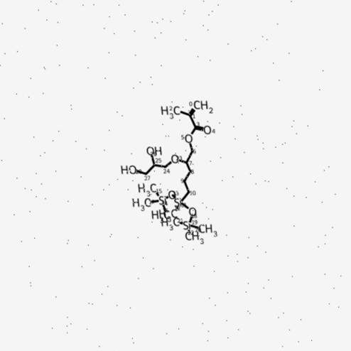 C=C(C)C(=O)OCC(CCC[Si](C)(O[Si](C)(C)C)O[Si](C)(C)C)OCC(O)CO